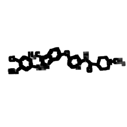 CN1CCC(C(=O)Nc2cc(Oc3ccc4c(c3)nc(Nc3ccc(Cl)c(C(C)(C)C)c3)n4C)ccn2)CC1